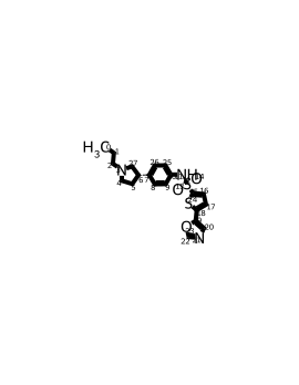 CCCN1CC[C@@H](c2ccc(NS(=O)(=O)c3ccc(-c4cnco4)s3)cc2)C1